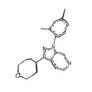 Cc1ccc(-n2nc(C3CCOCC3)c3ccncc32)c(C)c1